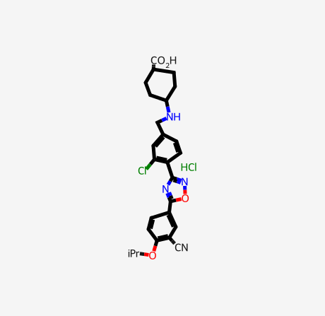 CC(C)Oc1ccc(-c2nc(-c3ccc(CNC4CCC(C(=O)O)CC4)cc3Cl)no2)cc1C#N.Cl